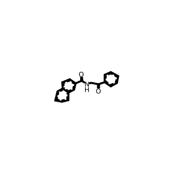 O=C(CNC(=O)c1ccc2ccccc2c1)c1ccccc1